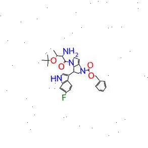 CC(OC(C)(C)C)C(N)C(=O)N1CC=C2C1C(c1c[nH]c3cc(F)ccc13)CN2C(=O)OCc1ccccc1